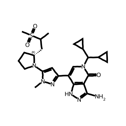 CC(C[C@H]1CCCN1c1cc(-c2cn(C(C3CC3)C3CC3)c(=O)c3c(N)n[nH]c23)nn1C)S(C)(=O)=O